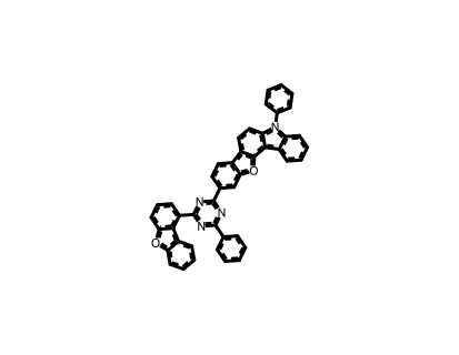 c1ccc(-c2nc(-c3ccc4c(c3)oc3c4ccc4c3c3ccccc3n4-c3ccccc3)nc(-c3cccc4oc5ccccc5c34)n2)cc1